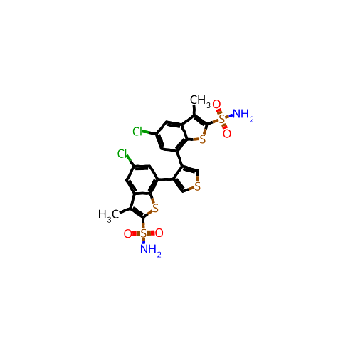 Cc1c(S(N)(=O)=O)sc2c(-c3cscc3-c3cc(Cl)cc4c(C)c(S(N)(=O)=O)sc34)cc(Cl)cc12